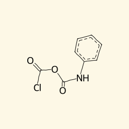 O=C(Cl)OC(=O)Nc1ccccc1